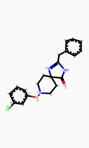 O=C1NC(Cc2ccccc2)=NC12CCN(Oc1cccc(Cl)c1)CC2